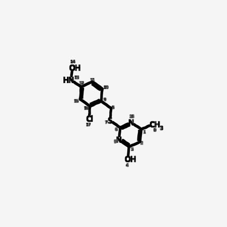 Cc1cc(O)nc(SCc2ccc(NO)cc2Cl)n1